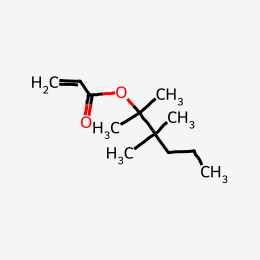 C=CC(=O)OC(C)(C)C(C)(C)CCC